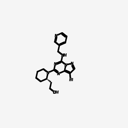 CCc1cnn2c(NCc3cccnc3)nc(N3CCCC[C@H]3CCO)nc12